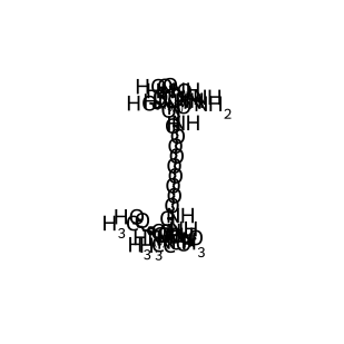 CC(CCCc1ccc(O)c(NC(=O)[C@H](C)NC(=O)[C@@H](NC(=O)[C@H](CCC(=O)NCCOCCOCCOCCOCCOCCOCCOCCOCCC(=O)NCCCC[C@@H]2NC(=O)[C@@H](Cc3ccc(O)cc3)NC(=O)[C@H](CC(=O)O)NC(=O)CNC(=O)[C@H](CCCNC(=N)N)NC2=O)NC(=O)CCCN2C(=O)C=CC2=O)C(C)C)c1)C(=O)O